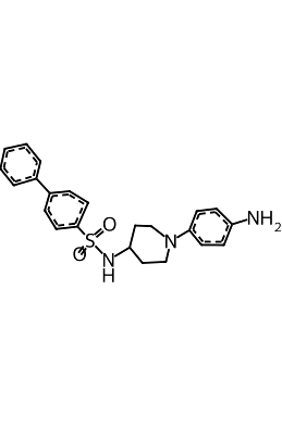 Nc1ccc(N2CCC(NS(=O)(=O)c3ccc(-c4ccccc4)cc3)CC2)cc1